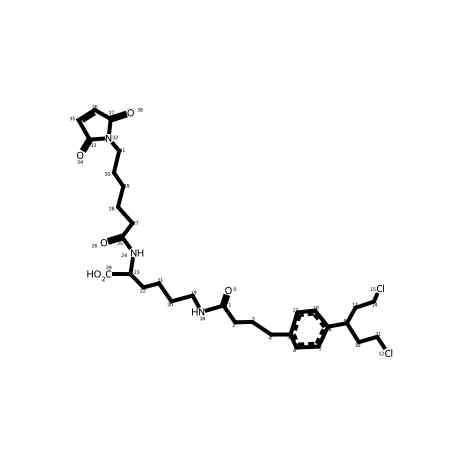 O=C(CCCc1ccc(C(CCCl)CCCl)cc1)NCCCCC(NC(=O)CCCCCN1C(=O)C=CC1=O)C(=O)O